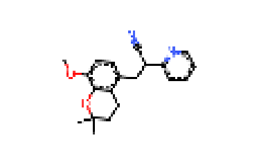 COc1ccc(CC(C#N)c2ccccn2)c2c1OC(C)(C)CC2